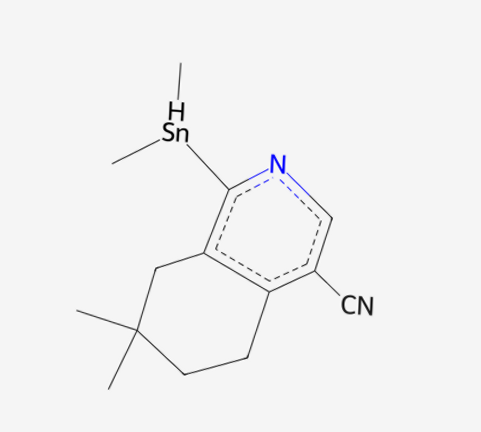 [CH3][SnH]([CH3])[c]1ncc(C#N)c2c1CC(C)(C)CC2